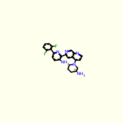 Nc1ccc(-c2c(F)cccc2F)nc1-c1cc2c(N3CCC[C@H](N)C3)ccnc2cn1